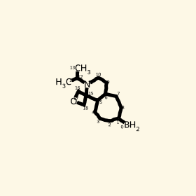 BC1CCCC2C(CC1)CCN(C(C)C)C21COC1